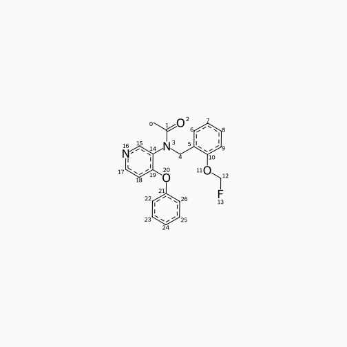 CC(=O)N(Cc1ccccc1OCF)c1cnccc1Oc1ccccc1